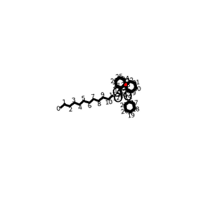 CCCCCCCCCCCC[O][Ti](=[O])([O]c1ccccc1)([c]1ccccc1)[c]1ccccc1